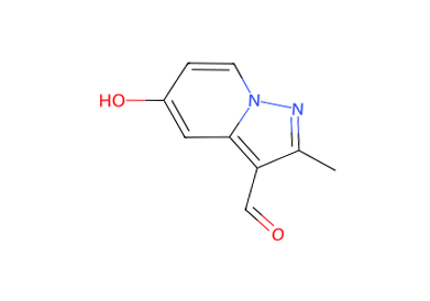 Cc1nn2ccc(O)cc2c1C=O